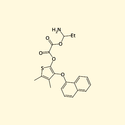 CCC(N)OC(=O)C(=O)Oc1sc(C)c(C)c1Oc1cccc2ccccc12